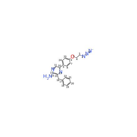 [N-]=[N+]=NCCOc1ccc(-c2cnc(N)c(Cc3ccccc3)n2)cc1